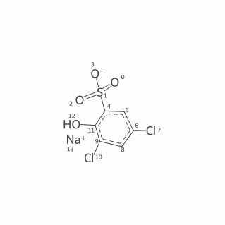 O=S(=O)([O-])c1cc(Cl)cc(Cl)c1O.[Na+]